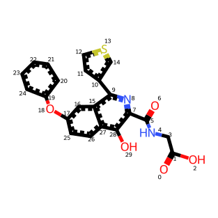 O=C(O)CNC(=O)c1nc(-c2ccsc2)c2cc(Oc3ccccc3)ccc2c1O